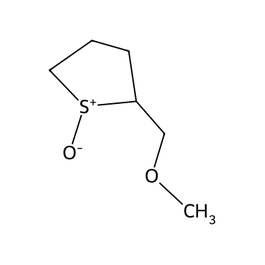 COCC1CCC[S+]1[O-]